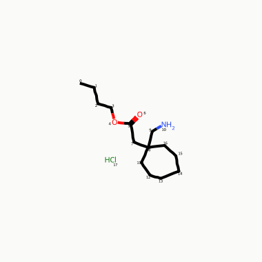 CCCCOC(=O)CC1(CN)CCCCCC1.Cl